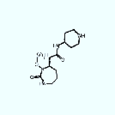 O=C(CC1CCCNC(=O)N1OS(=O)(=O)O)NC1CCNCC1